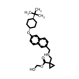 CC(C)(C)[C@H]1CC[C@H](Oc2ccc3cc(CNCC4(C(=O)OCO)CC4)ccc3c2)CC1